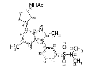 CC(=O)NC1CCN(c2cc(C)nn3c(-c4cccc(S(=O)(=O)N(C)C)c4)c(C)nc23)C1